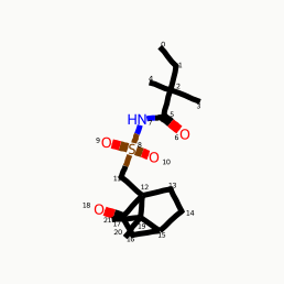 CCC(C)(C)C(=O)NS(=O)(=O)CC12CCC(CC1=O)C2(C)C